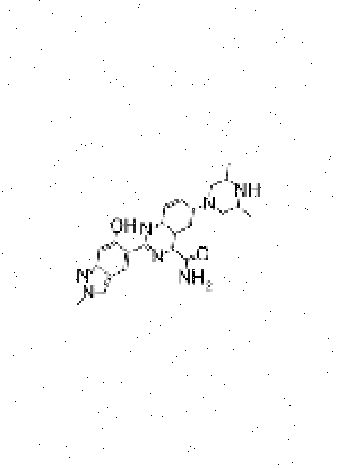 CC1CN(c2ccc3nc(-c4cc5cn(C)nc5cc4O)nc(C(N)=O)c3c2)CC(C)N1